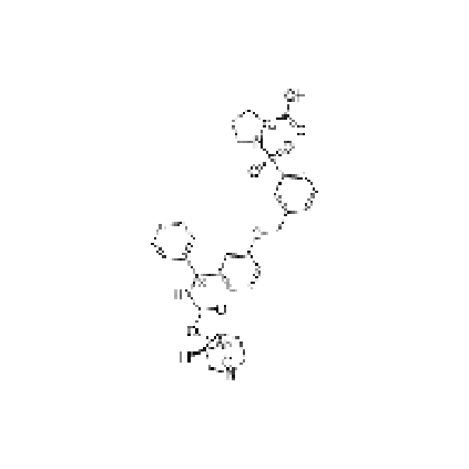 O=C(N[C@@H](c1ccccc1)c1cccc(OCc2cccc(S(=O)(=O)N3CCC[C@H]3C(=O)O)c2)c1)O[C@H]1CN2CCC1CC2